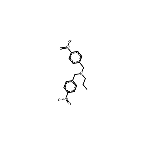 CCCN(Cc1ccc([N+](=O)[O-])cc1)Cc1ccc([N+](=O)[O-])cc1